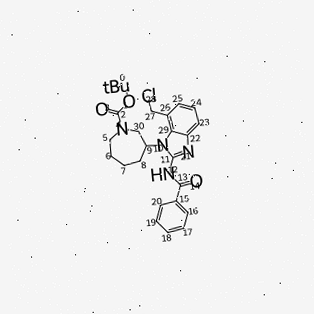 CC(C)(C)OC(=O)N1CCCCC(n2c(NC(=O)c3ccccc3)nc3cccc(CCl)c32)C1